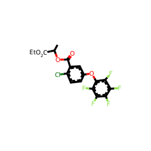 CCOC(=O)C(C)OC(=O)c1cc(Oc2c(F)c(F)c(F)c(F)c2F)ccc1Cl